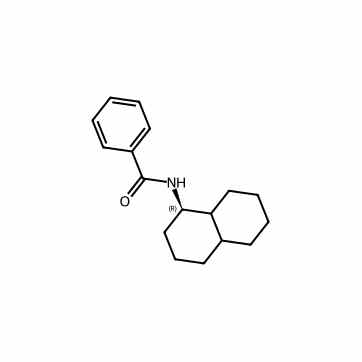 O=C(N[C@@H]1CCCC2CCCCC21)c1ccccc1